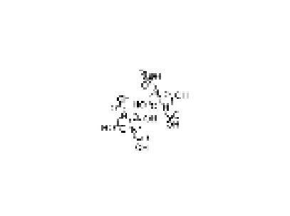 O=C(O)CN(CCN(CC(=O)O)CC(=O)O)CC(=O)O.O=C(O)CN(CCN(CC(=O)O)CC(=O)O)CC(=O)O.[Fe].[NaH]